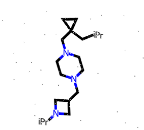 CC(C)CC1(CN2CCN(CC3CN(C(C)C)C3)CC2)CC1